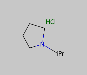 CC(C)N1CCCC1.Cl